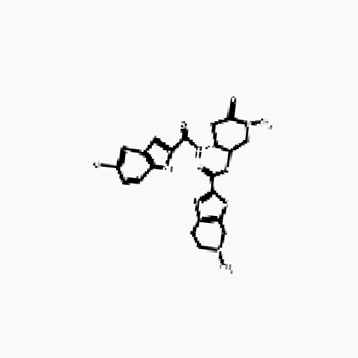 CN1CCc2nc(C(=O)NC3CN(C)C(=O)C[C@H]3NC(=O)c3cc4cc(Cl)ccc4[nH]3)sc2C1